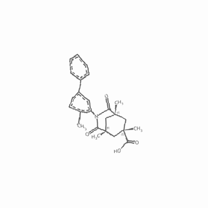 Cc1ccc(-c2ccccc2)cc1N1C(=O)[C@@]2(C)C[C@@](C)(C(=O)O)C[C@](C)(C2)C1=O